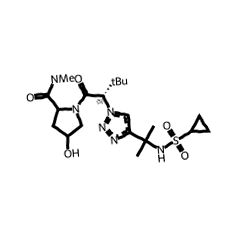 CNC(=O)C1CC(O)CN1C(=O)[C@@H](n1cc(C(C)(C)NS(=O)(=O)C2CC2)nn1)C(C)(C)C